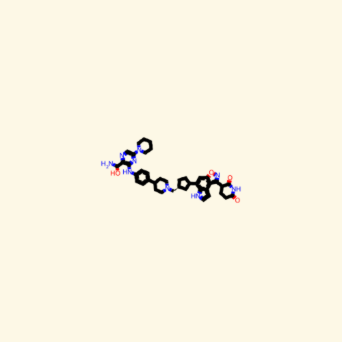 NC(O)c1ncc(N2CCCCC2)nc1Nc1ccc(C2CCN(C[C@@H]3CCC(c4cc5onc(C6CCC(=O)NC6=O)c5c5cc[nH]c45)C3)CC2)cc1